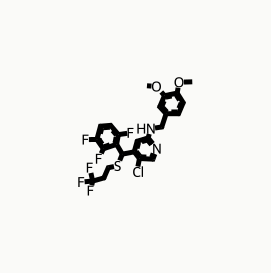 COc1ccc(CNc2cc(C(SCCC(F)(F)F)c3c(F)ccc(F)c3F)c(Cl)cn2)cc1OC